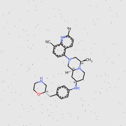 [2H]c1ccc2c(N3C[C@@H]4C[C@H](Nc5ccc(C[C@H]6CNCCO6)cc5)CCN4[C@H](C)C3)ccc(C#N)c2n1